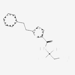 CCCC(CCC)(CC(=O)O)NC(=O)c1ccc(CCc2ccccc2)o1